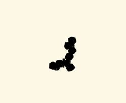 c1ccc(-c2nc(-c3ccc(-c4cccc(-c5cccc6c5sc5ccccc56)c4)cc3)nc(-c3ccc4c(c3)oc3ccccc34)n2)cc1